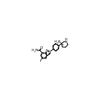 B[C@]1(c2ccc(-n3cc4cc(F)cc(C(N)=O)c4n3)cc2)CCCNC1